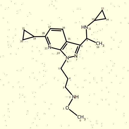 CONCCCn1nc(C(C)NC2CC2)c2ccc(C3CC3)nc21